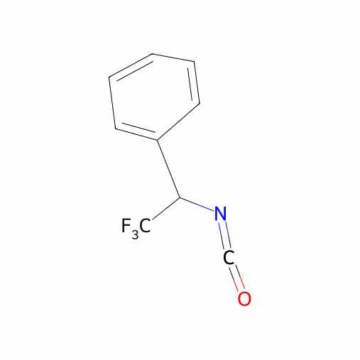 O=C=NC(c1ccccc1)C(F)(F)F